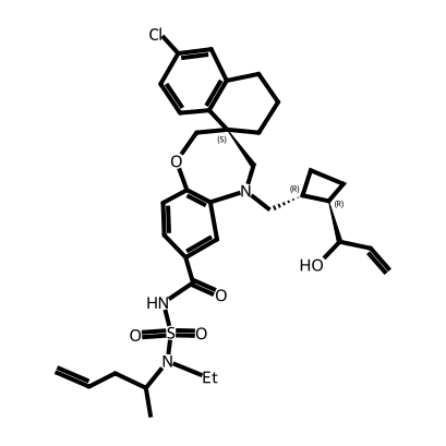 C=CCC(C)N(CC)S(=O)(=O)NC(=O)c1ccc2c(c1)N(C[C@@H]1CC[C@H]1C(O)C=C)C[C@@]1(CCCc3cc(Cl)ccc31)CO2